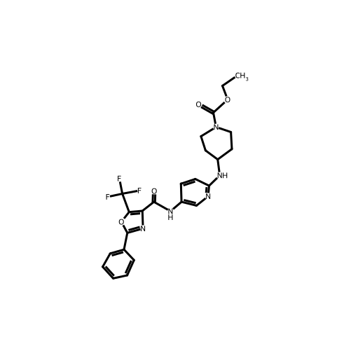 CCOC(=O)N1CCC(Nc2ccc(NC(=O)c3nc(-c4ccccc4)oc3C(F)(F)F)cn2)CC1